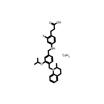 CC(C)Oc1cc(CNc2ccc(CCC(=O)O)c(F)c2)ccc1CN1c2ccccc2CCC1C.[CaH2]